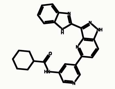 O=C(Nc1cncc(-c2ccc3[nH]nc(-c4nc5ccccc5[nH]4)c3n2)c1)C1CCCCC1